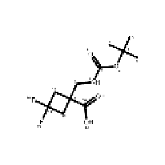 CC(C)(C)OC(=O)NCC1(C(=O)O)CC(F)(F)C1